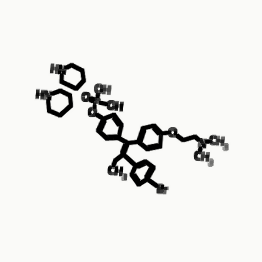 C1CCNCC1.C1CCNCC1.CC/C(=C(/c1ccc(OCCN(C)C)cc1)c1ccc(OP(=O)(O)O)cc1)c1ccc(Br)cc1